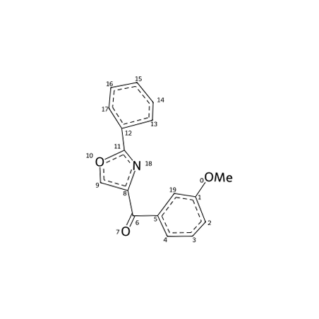 COc1cccc(C(=O)c2coc(-c3ccccc3)n2)c1